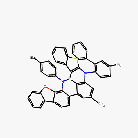 Cc1cc2c3c(c1)N(c1ccc(C(C)(C)C)cc1-c1ccccc1)c1sc4ccccc4c1B3N(c1ccc(C(C)(C)C)cc1)c1c-2ccc2c1oc1ccccc12